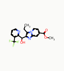 CCc1c(C(O)c2ncccc2C(F)(F)F)nc2cc(C(=O)OC)ccn12